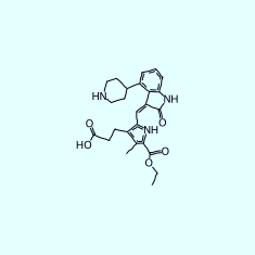 CCOC(=O)c1[nH]c(C=C2C(=O)Nc3cccc(C4CCNCC4)c32)c(CCC(=O)O)c1C